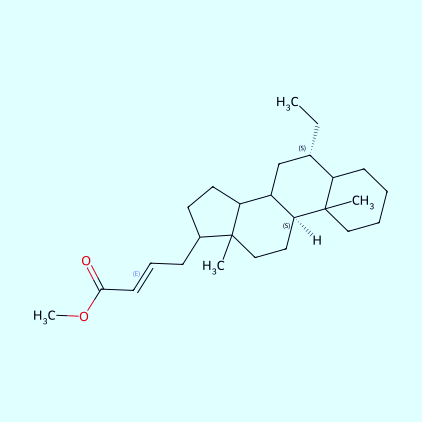 CC[C@H]1CC2C3CCC(C/C=C/C(=O)OC)C3(C)CC[C@@H]2C2(C)CCCCC12